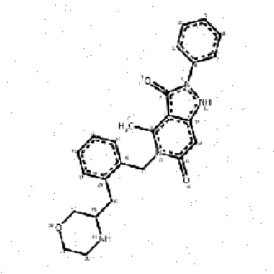 Cc1c2c(=O)n(-c3ccccc3)[nH]c2cc(=O)n1Cc1ccccc1CC1COCCN1